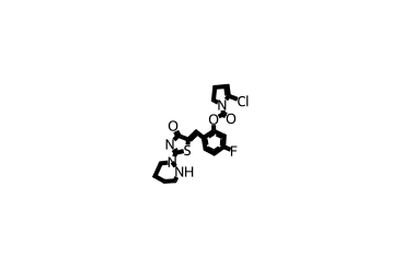 O=C1N=C(N2CCCCN2)SC1=Cc1ccc(F)cc1OC(=O)N1CCC=C1Cl